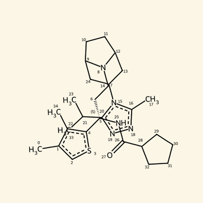 Cc1csc([C@H](CCN2C3CCC2CC(n2c(C)nnc2C(C)C)C3)NC(=O)C2CCCC2)c1C